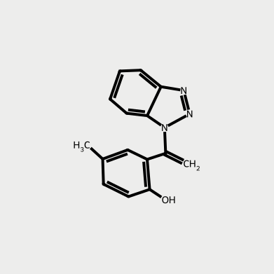 C=C(c1cc(C)ccc1O)n1nnc2ccccc21